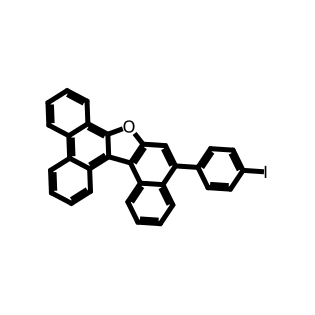 Ic1ccc(-c2cc3oc4c5ccccc5c5ccccc5c4c3c3ccccc23)cc1